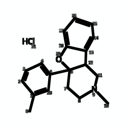 Cc1cccc(C23CCN(C)CC2c2ccccc2O3)c1.Cl